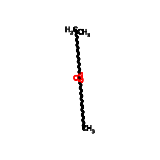 CCCCCCCCC=CCCCCCCCCOC(=O)OCCCCCCCCCCCCCCCC(C)C